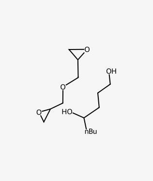 C(OCC1CO1)C1CO1.CCCCC(O)CCCO